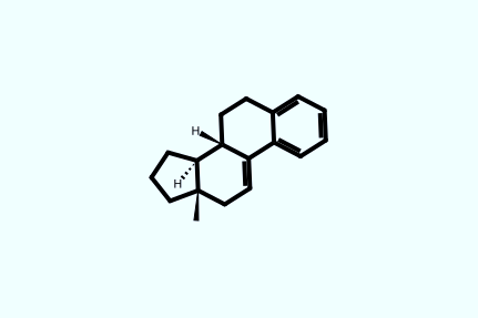 C[C@]12CC=C3c4ccccc4CC[C@H]3[C@@H]1CCC2